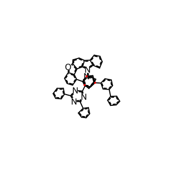 c1ccc(-c2cccc(-c3cnc(-c4cccc5oc6ccc7c8ccccc8n(-c8ccccc8)c7c6c45)c(-c4nc(-c5ccccc5)nc(-c5ccccc5)n4)c3)c2)cc1